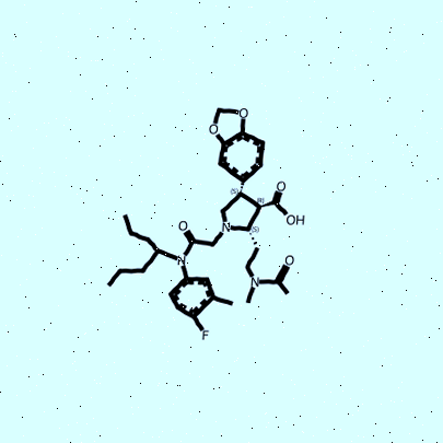 CCCC(CCC)N(C(=O)CN1C[C@H](c2ccc3c(c2)OCO3)[C@@H](C(=O)O)[C@@H]1CCN(C)C(C)=O)c1ccc(F)c(C)c1